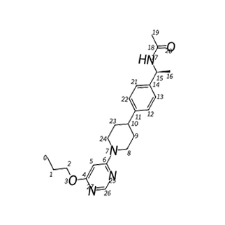 CCCOc1cc(N2CCC(c3ccc([C@H](C)NC(C)=O)cc3)CC2)ncn1